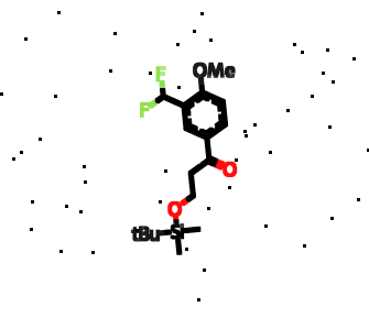 COc1ccc(C(=O)CCO[Si](C)(C)C(C)(C)C)cc1C(F)F